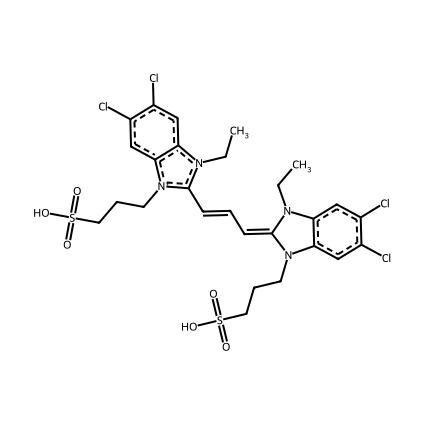 CCN1C(=CC=Cc2n(CC)c3cc(Cl)c(Cl)cc3[n+]2CCCS(=O)(=O)O)N(CCCS(=O)(=O)O)c2cc(Cl)c(Cl)cc21